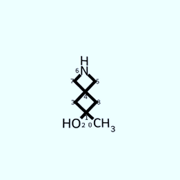 CC1(O)CC2(CNC2)C1